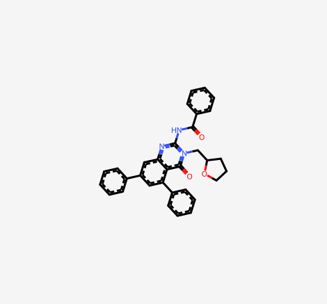 O=C(Nc1nc2cc(-c3ccccc3)cc(-c3ccccc3)c2c(=O)n1CC1CCCO1)c1ccccc1